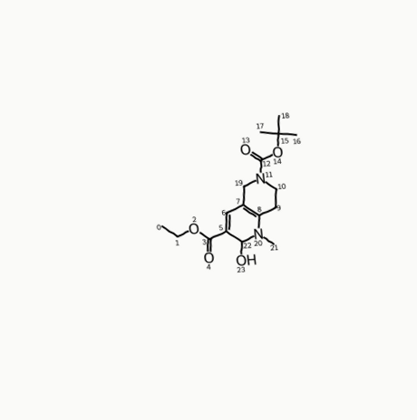 CCOC(=O)C1=CC2=C(CCN(C(=O)OC(C)(C)C)C2)N(C)C1O